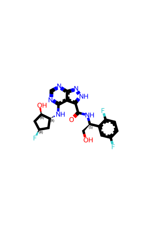 O=C(N[C@H](CO)c1cc(F)ccc1F)c1[nH]nc2ncnc(N[C@@H]3C[C@@H](F)C[C@H]3O)c12